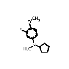 COc1ccc(N(C)C2CCCC2)cc1F